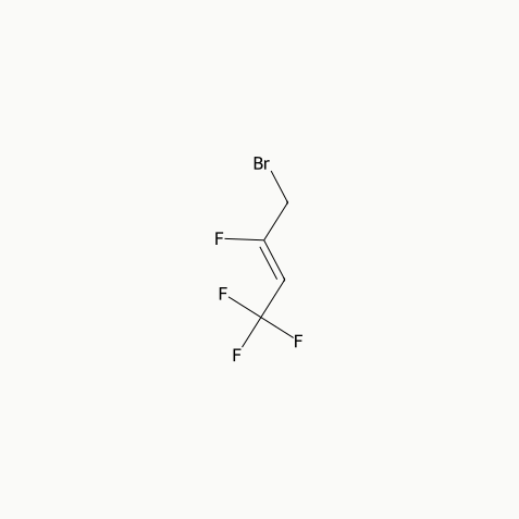 FC(=CC(F)(F)F)CBr